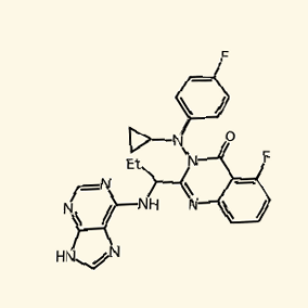 CCC(Nc1ncnc2[nH]cnc12)c1nc2cccc(F)c2c(=O)n1N(c1ccc(F)cc1)C1CC1